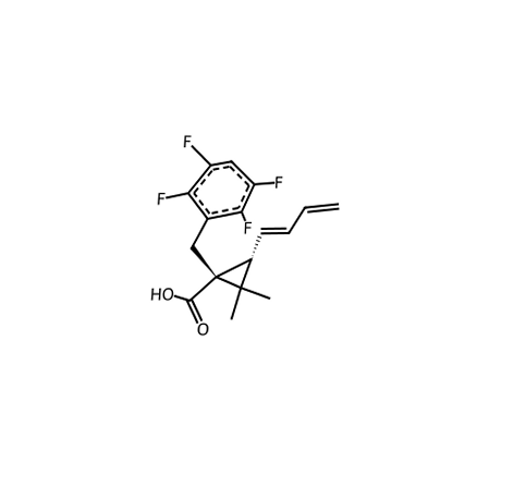 C=CC=C[C@@H]1C(C)(C)[C@]1(Cc1c(F)c(F)cc(F)c1F)C(=O)O